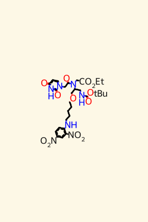 CCOC(=O)CN(C(=O)Cn1ccc(=O)[nH]c1=O)C(CNC(=O)OC(C)(C)C)COCCCCCNc1ccc([N+](=O)[O-])cc1[N+](=O)[O-]